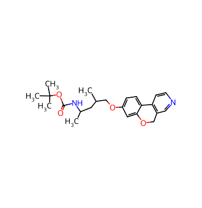 CC(COc1ccc2c(c1)OCc1cnccc1-2)CC(C)NC(=O)OC(C)(C)C